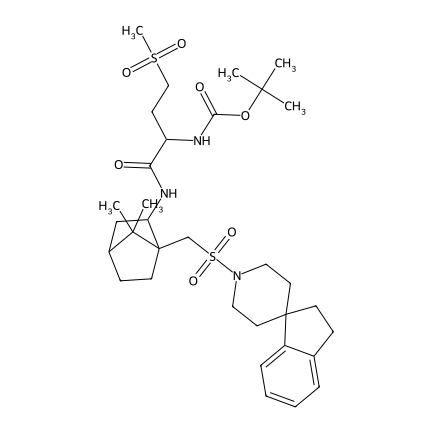 CC(C)(C)OC(=O)NC(CCS(C)(=O)=O)C(=O)NC1CC2CCC1(CS(=O)(=O)N1CCC3(CCc4ccccc43)CC1)C2(C)C